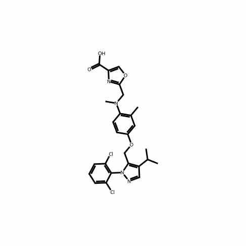 Cc1cc(OCc2c(C(C)C)cnn2-c2c(Cl)cccc2Cl)ccc1N(C)Cc1nc(C(=O)O)co1